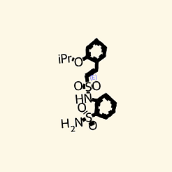 CC(C)Oc1ccccc1/C=C/S(=O)(=O)Nc1ccccc1S(N)(=O)=O